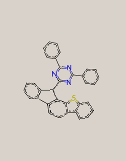 c1ccc(-c2nc(-c3ccccc3)nc(C3c4ccccc4-c4ccc5c(sc6ccccc65)c43)n2)cc1